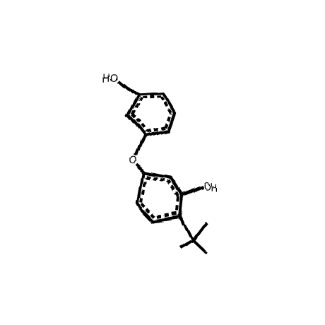 CC(C)(C)c1ccc(Oc2cccc(O)c2)cc1O